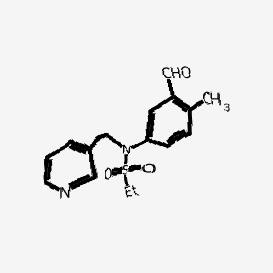 CCS(=O)(=O)N(Cc1cccnc1)c1ccc(C)c(C=O)c1